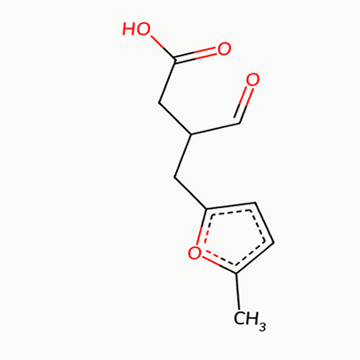 Cc1ccc(CC(C=O)CC(=O)O)o1